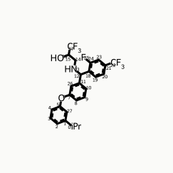 CC(C)c1cccc(Oc2cccc(C(NCC(O)C(F)(F)F)c3ccc(C(F)(F)F)cc3F)c2)c1